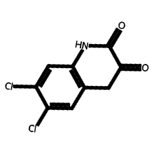 O=C1Cc2cc(Cl)c(Cl)cc2NC1=O